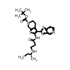 CC[C@H](C)NCCC(=O)Nc1sc2c(c1-c1nc3cnccc3s1)CCN(C(=O)OC(C)(C)C)C2